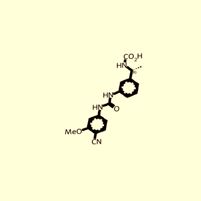 COc1cc(NC(=O)Nc2cccc([C@@H](C)NC(=O)O)c2)ccc1C#N